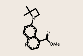 COC(=O)c1ccnc2ccc(N3CCC3(C)C)cc12